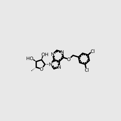 C[C@H]1O[C@@H](n2cnc3c(OCc4cc(Cl)cc(Cl)c4)ncnc32)[C@H](O)[C@@H]1O